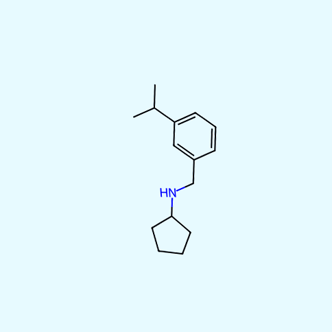 CC(C)c1cccc(CNC2CCCC2)c1